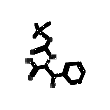 CC(C)(C)OC(=O)N[C@@H](C(=O)O)C(Br)c1ccccc1